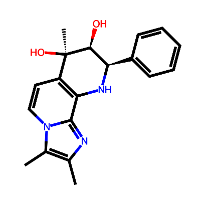 Cc1nc2c3c(ccn2c1C)[C@@](C)(O)[C@@H](O)[C@@H](c1ccccc1)N3